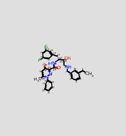 CCc1cccc(CNC[C@H](O)[C@@H](Cc2cc(F)cc(F)c2)NC(=O)c2nn(-c3ccccc3)c(C)cc2=O)c1